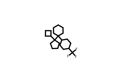 FC(F)(F)C1CC[C](C2(C3(C4CCC4)CCCC3)CCCCC2)CC1